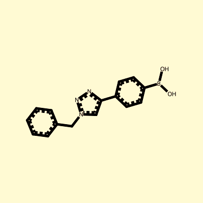 OB(O)c1ccc(-c2cn(Cc3ccccc3)nn2)cc1